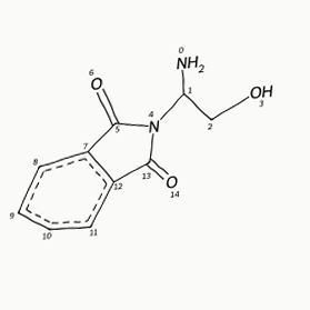 NC(CO)N1C(=O)c2ccccc2C1=O